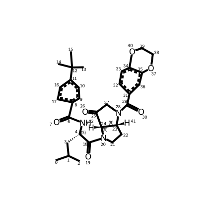 CC(C)C[C@H](NC(=O)c1ccc(C(C)(C)C)cc1)C(=O)N1CC[C@@H]2[C@H]1C(=O)CN2C(=O)c1ccc2c(c1)OCCO2